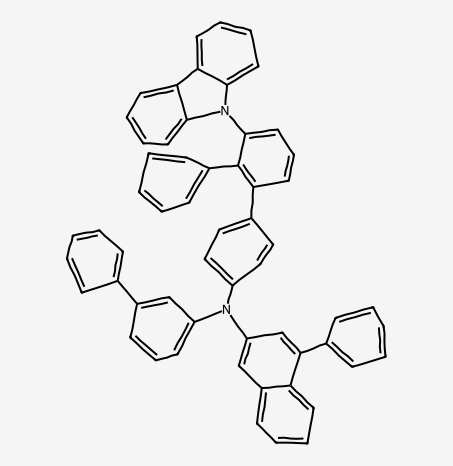 c1ccc(-c2cccc(N(c3ccc(-c4cccc(-n5c6ccccc6c6ccccc65)c4-c4ccccc4)cc3)c3cc(-c4ccccc4)c4ccccc4c3)c2)cc1